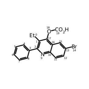 CCc1c(-c2ccccc2)nc2ccc(Br)cc2c1OC(=O)O